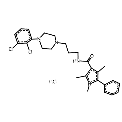 Cc1c(C(=O)NCCCN2CCN(c3cccc(Cl)c3Cl)CC2)c(C)n(C)c1-c1ccccc1.Cl